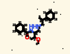 COC(C)C(CNCC(C)c1ccccc1)NC(=O)c1ccccc1